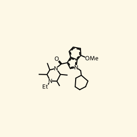 CCN1C(C)C(C)N(C(=O)c2cn(CC3CCCCC3)c3c(OC)cccc23)C(C)C1C